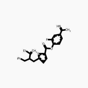 C=C(CC)C(Cc1ccc(C(=O)Oc2ccc(C(C)=N)cc2F)s1)CC(C)C